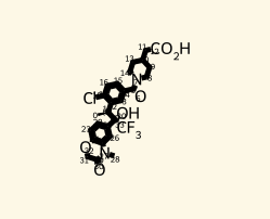 C[C@@H](c1cc(C(=O)N2CCC(CC(=O)O)CC2)ccc1Cl)[C@](O)(c1ccc2c(c1)N(C)C(=O)CO2)C(F)(F)F